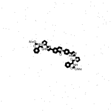 COC(=O)N[C@@H](C(=O)N1CCC[C@H]1c1nc(-c2ccc3c(=O)n(-c4ccc(-c5cnc([C@@H]6CCCN6C(=O)[C@H](NC(=O)OC)c6ccccc6)[nH]5)cc4)ccc3c2)c[nH]1)c1ccccc1